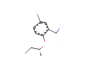 C[C@@H](CI)Oc1ccc(F)cc1[C@@H](C)N